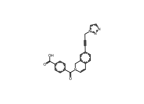 O=C(O)c1ccc(C(=O)N2C=Cc3ccc(C#CCn4ccnn4)cc3C2)cc1